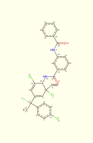 COC1(Cl)C=C(C(F)(c2ccc(Cl)cc2)C(F)(F)F)C=C(Cl)C1NC(=O)c1cccc(NC(=O)c2ccccc2)c1